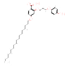 CCCCCCCCCCCCCCCCCCOc1ccc(C(=O)O)c(OCCCOc2ccc(O)cc2)c1